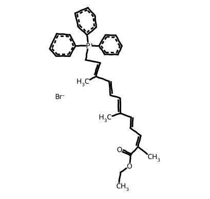 CCOC(=O)\C(C)=C/C=C/C(C)=C/C=C/C(C)=C/C[P+](c1ccccc1)(c1ccccc1)c1ccccc1.[Br-]